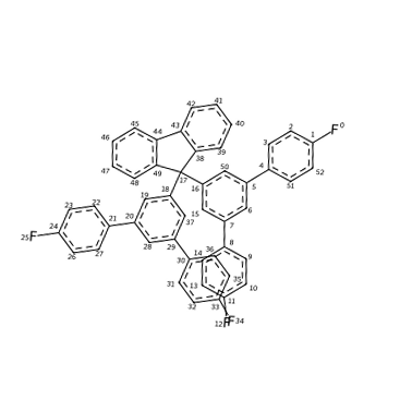 Fc1ccc(-c2cc(-c3ccc(F)cc3)cc(C3(c4cc(-c5ccc(F)cc5)cc(-c5ccc(F)cc5)c4)c4ccccc4-c4ccccc43)c2)cc1